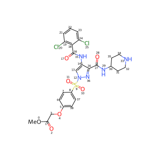 COC(=O)COc1ccc(S(=O)(=O)n2cc(NC(=O)c3c(Cl)cccc3Cl)c(C(=O)NC3CCNCC3)n2)cc1